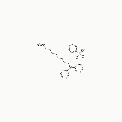 CCCCCCCCCCCCCCCCCC[S+](c1ccccc1)c1ccccc1.O=S(=O)([O-])c1ccccc1